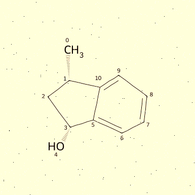 C[C@H]1C[C@@H](O)c2ccccc21